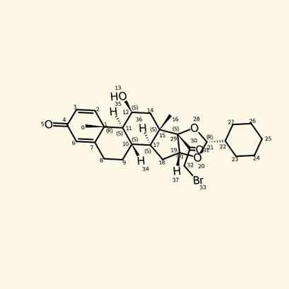 C[C@]12C=CC(=O)C=C1CC[C@@H]1[C@@H]2[C@@H](O)C[C@@]2(C)[C@H]1C[C@H]1O[C@@H](C3CCCCC3)O[C@]12C(=O)CBr